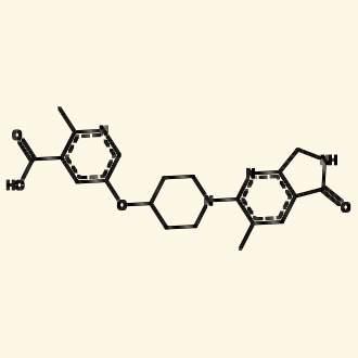 Cc1cc2c(nc1N1CCC(Oc3cnc(C)c(C(=O)O)c3)CC1)CNC2=O